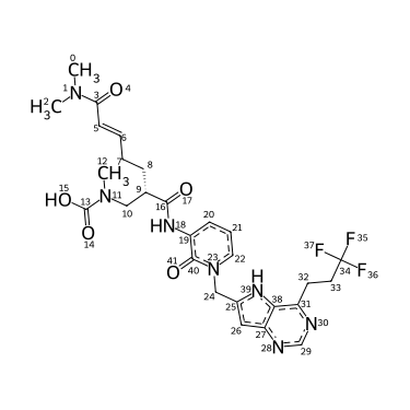 CN(C)C(=O)/C=C/CC[C@@H](CN(C)C(=O)O)C(=O)Nc1cccn(Cc2cc3ncnc(CCC(F)(F)F)c3[nH]2)c1=O